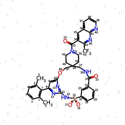 Cc1cccc(C)c1-c1cc2nc(n1)NS(=O)(=O)c1cccc(c1)C(=O)NCC1(CCN(C(=O)c3cc4cccnc4nc3C(F)(F)F)CC1)CO2